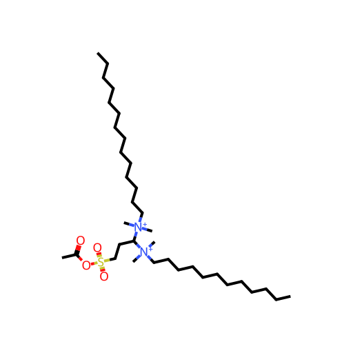 CCCCCCCCCCCCCC[N+](C)(C)C(CCS(=O)(=O)OC(C)=O)[N+](C)(C)CCCCCCCCCCCC